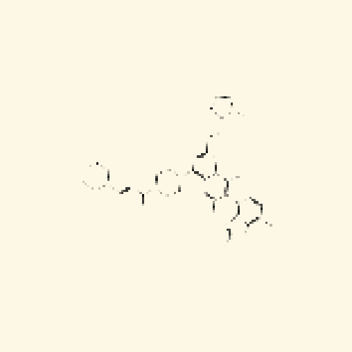 CN1CCC[C@H]1COc1cc(N2CCN(C(=O)C=CN3CCNCC3)CC2)c2cc(Cl)c(-c3ccc(F)c4sc(N)nc34)c(F)c2n1